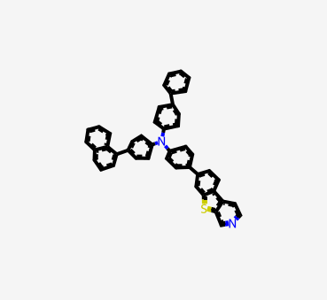 c1ccc(-c2ccc(N(c3ccc(-c4ccc5c(c4)sc4cnccc45)cc3)c3ccc(-c4cccc5ccccc45)cc3)cc2)cc1